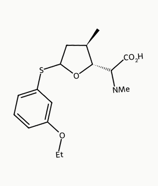 CCOc1cccc(SC2C[C@@H](C)[C@H](C(NC)C(=O)O)O2)c1